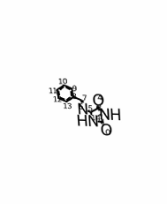 O=C1NC(=O)C(N=Cc2ccccc2)N1